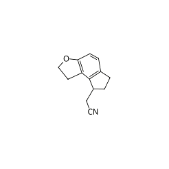 N#CCC1CCc2ccc3c(c21)CCO3